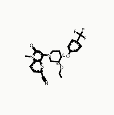 CCO[C@H]1CN(c2cc(=O)n(C)c3ccc(C#N)nc23)CC[C@@H]1Oc1ccc(C(F)(F)F)cc1